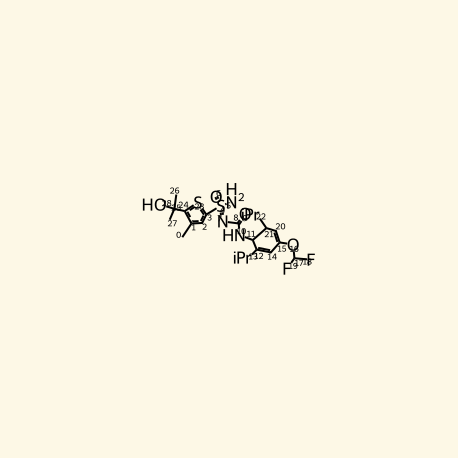 Cc1cc(S(N)(=O)=NC(=O)NC2C(C(C)C)=CC(OC(F)F)=CC2C(C)C)sc1C(C)(C)O